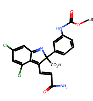 CCCCOC(=O)Nc1cccc(C2(C(=O)O)N=c3cc(Cl)cc(Cl)c3=C2C=CC(N)=O)c1